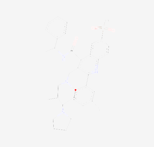 CC1CN(Cc2c(-c3cccc(C(F)(F)F)c3)nc3ccc(S(=O)(=O)C(C)C)cc3c2C(=O)NC(c2ccccc2)C(F)(F)F)CCC1N1CCCC1